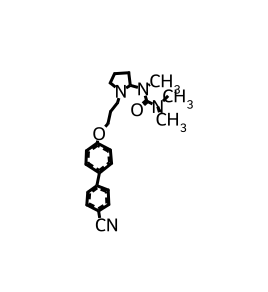 CN(C)C(=O)N(C)C1CCCN1CCCOc1ccc(-c2ccc(C#N)cc2)cc1